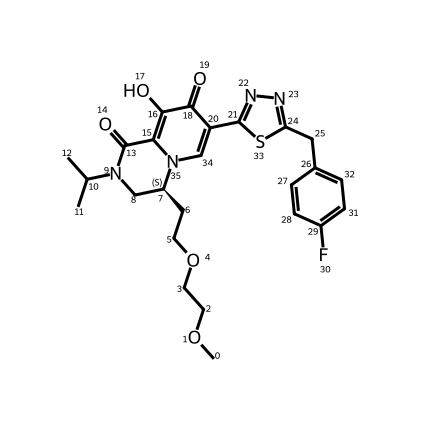 COCCOCC[C@H]1CN(C(C)C)C(=O)c2c(O)c(=O)c(-c3nnc(Cc4ccc(F)cc4)s3)cn21